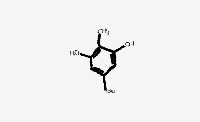 CCCCc1cc(O)c(C)c(O)c1